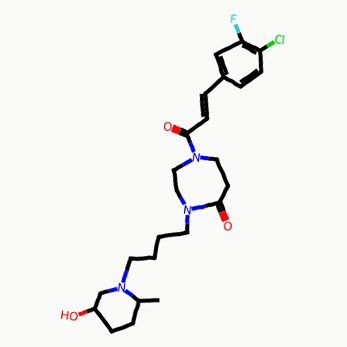 CC1CCC(O)CN1CCCCN1CCN(C(=O)/C=C/c2ccc(Cl)c(F)c2)CCC1=O